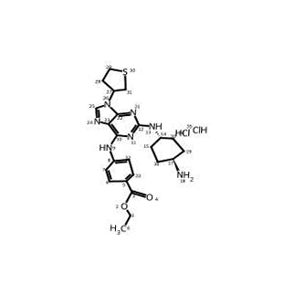 CCOC(=O)c1ccc(Nc2nc(N[C@H]3CC[C@H](N)CC3)nc3c2ncn3C2CCSC2)cc1.Cl.Cl